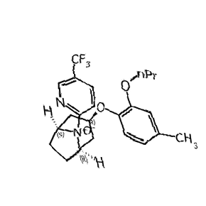 CCCOc1cc(C)ccc1O[C@H]1C[C@H]2CC[C@@H](C1)[N+]2([O-])c1ccc(C(F)(F)F)cn1